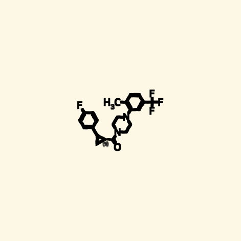 Cc1ccc(C(F)(F)F)cc1N1CCN(C(=O)[C@H]2CC2c2ccc(F)cc2)CC1